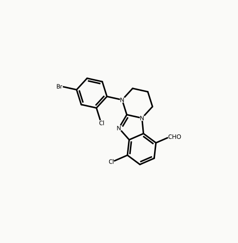 O=Cc1ccc(Cl)c2nc3n(c12)CCCN3c1ccc(Br)cc1Cl